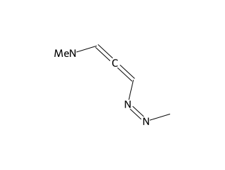 C/N=N\C=C=CNC